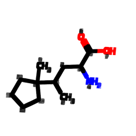 CC(CC(N)C(=O)O)C1(C)CCCC1